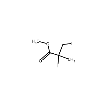 COC(=O)C(C)(I)CI